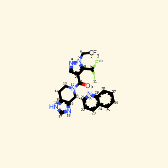 O=C(c1cnn(CC(F)(F)F)c1C(F)F)N1CCc2[nH]cnc2[C@H]1c1ccc2ccccc2n1